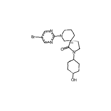 O=C1N(C2CCC(O)CC2)CC[C@]12CCCN(c1ncc(Br)cn1)C2